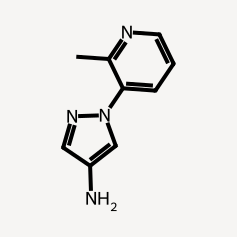 Cc1ncccc1-n1cc(N)cn1